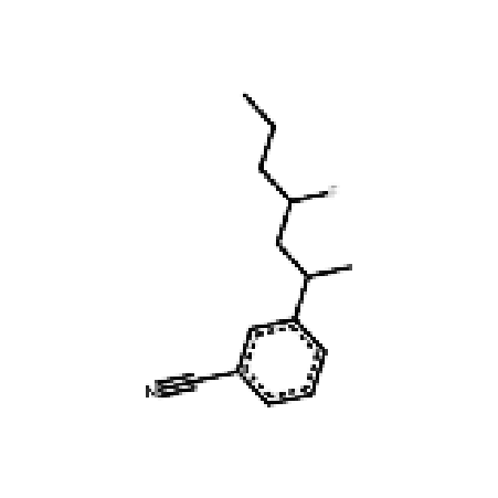 CCCC(F)CC(C)c1cccc(C#N)c1